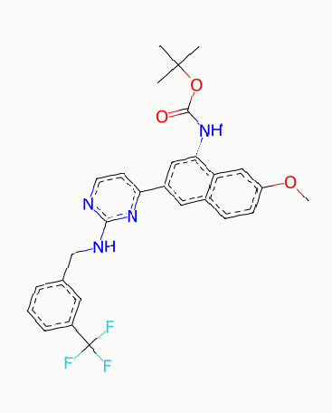 COc1ccc2cc(-c3ccnc(NCc4cccc(C(F)(F)F)c4)n3)cc(NC(=O)OC(C)(C)C)c2c1